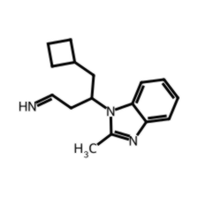 Cc1nc2ccccc2n1C(CC=N)CC1CCC1